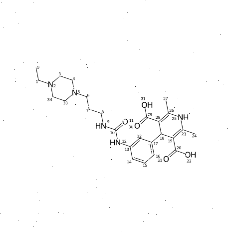 CCN1CCN(CCCNC(=O)Nc2cccc(C3C(C(=O)O)=C(C)NC(C)=C3C(=O)O)c2)CC1